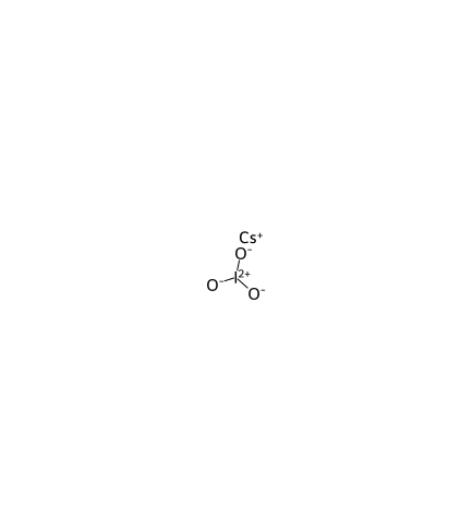 [Cs+].[O-][I+2]([O-])[O-]